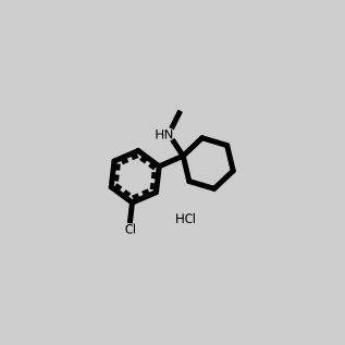 CNC1(c2cccc(Cl)c2)CCCCC1.Cl